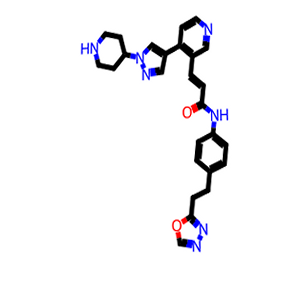 O=C(C=Cc1cnccc1-c1cnn(C2CCNCC2)c1)Nc1ccc(CCc2nnco2)cc1